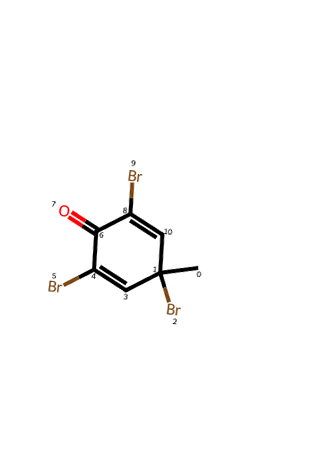 CC1(Br)C=C(Br)C(=O)C(Br)=C1